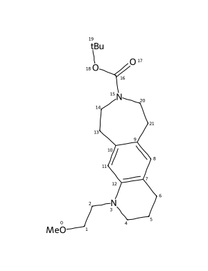 COCCN1CCCc2cc3c(cc21)CCN(C(=O)OC(C)(C)C)CC3